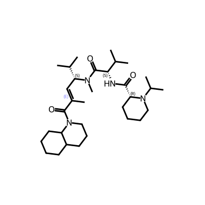 C/C(=C\[C@H](C(C)C)N(C)C(=O)[C@@H](NC(=O)[C@H]1CCCCN1C(C)C)C(C)C)C(=O)N1CCCC2CCCCC21